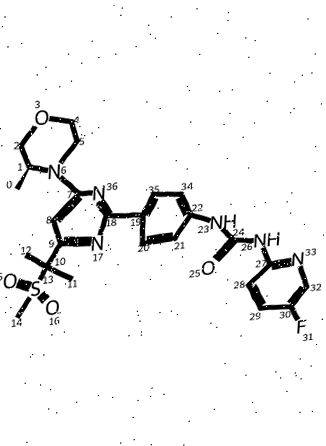 C[C@H]1COCCN1c1cc(C(C)(C)S(C)(=O)=O)nc(-c2ccc(NC(=O)Nc3ccc(F)cn3)cc2)n1